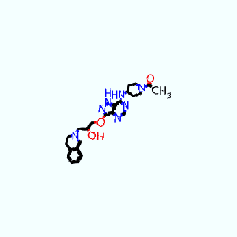 CC(=O)N1CCC(Nc2ncnc3c(OCC(O)CN4CCc5ccccc5C4)n[nH]c23)CC1